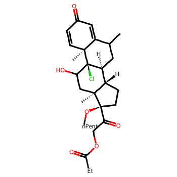 CCCCCO[C@]1(C(=O)COC(=O)CC)CC[C@H]2[C@@H]3CC(C)C4=CC(=O)C=C[C@]4(C)[C@@]3(Cl)C(O)C[C@@]21C